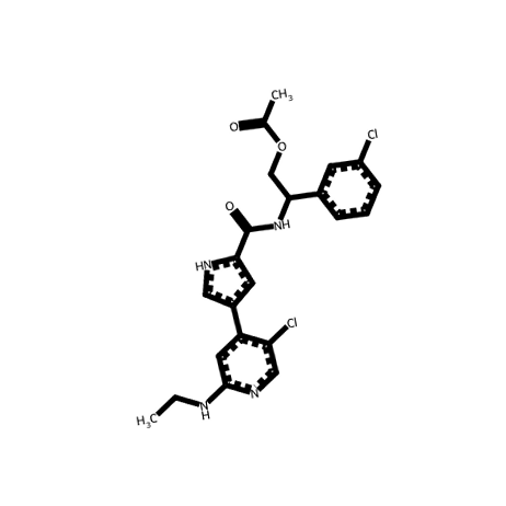 CCNc1cc(-c2c[nH]c(C(=O)NC(COC(C)=O)c3cccc(Cl)c3)c2)c(Cl)cn1